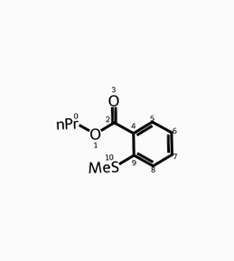 CCCOC(=O)c1ccccc1SC